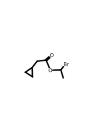 CC(Br)OC(=O)CC1CC1